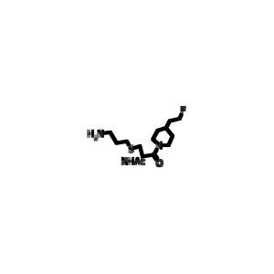 CC(=O)N[C@@H](CSCCCN)C(=O)N1CCC(CCF)CC1